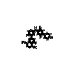 CC(=O)N1CCN(C(C)C)c2cc(-c3nc(Nc4cc(F)c(N5CCNCC5)cc4F)ncc3F)cc(F)c21